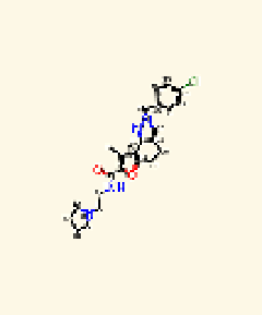 Cc1c(C(=O)NCCN2CCCC2)oc2c1-c1nn(Cc3ccc(Cl)cc3)cc1CC2